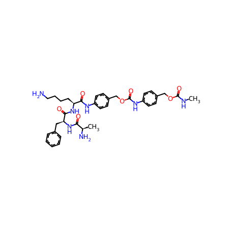 CNC(=O)OCc1ccc(NC(=O)OCc2ccc(NC(=O)[C@H](CCCCN)NC(=O)[C@H](Cc3ccccc3)NC(=O)[C@@H](C)N)cc2)cc1